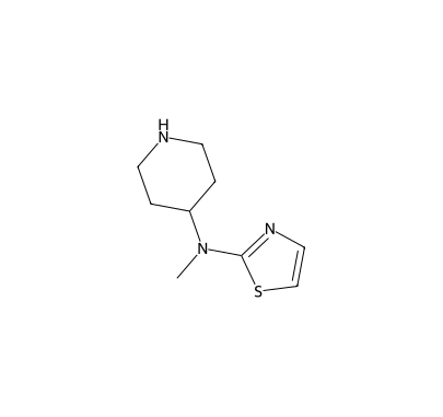 CN(c1nccs1)C1CCNCC1